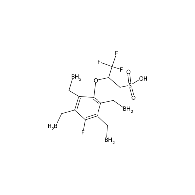 BCc1c(F)c(CB)c(CB)c(OC(CS(=O)(=O)O)C(F)(F)F)c1CB